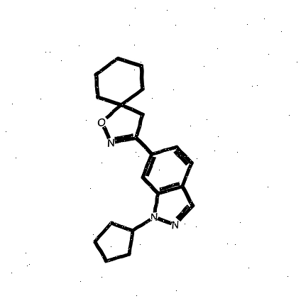 c1cc2cnn(C3CCCC3)c2cc1C1=NOC2(CCCCC2)C1